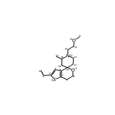 CCc1cc2c(s1)CCOC21CCN(CCOC)C(C)C1